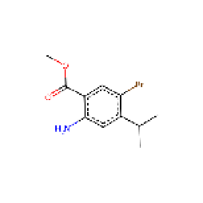 COC(=O)c1cc(Br)c(C(C)C)cc1N